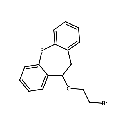 BrCCOC1Cc2ccccc2Sc2ccccc21